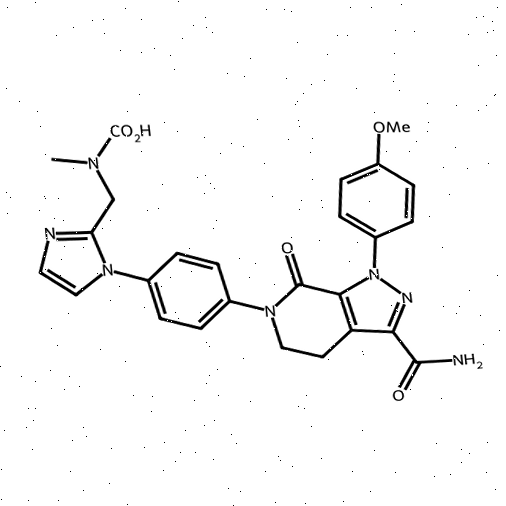 COc1ccc(-n2nc(C(N)=O)c3c2C(=O)N(c2ccc(-n4ccnc4CN(C)C(=O)O)cc2)CC3)cc1